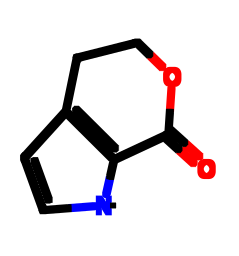 O=C1OCCC2=C1[N]C=C2